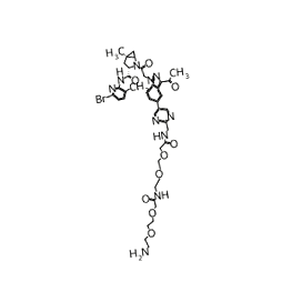 CC(=O)c1nn(CC(=O)N2C3C[C@]3(C)C[C@H]2C(=O)Nc2nc(Br)ccc2C)c2ccc(-c3cnc(CNC(=O)COCCOCCNC(=O)COCCOCCN)nc3)cc12